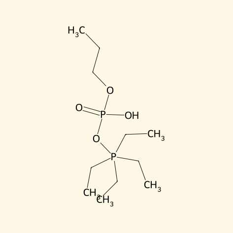 CCCOP(=O)(O)OP(CC)(CC)(CC)CC